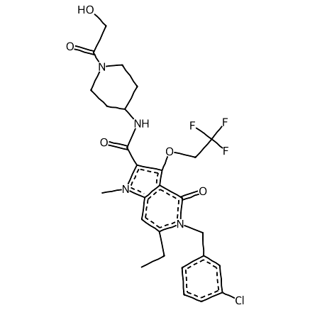 CCc1cc2c(c(OCC(F)(F)F)c(C(=O)NC3CCN(C(=O)CO)CC3)n2C)c(=O)n1Cc1cccc(Cl)c1